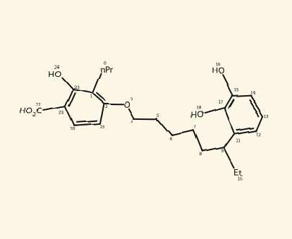 CCCc1c(OCCCCCC(CC)c2cccc(O)c2O)ccc(C(=O)O)c1O